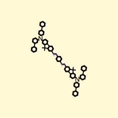 CC1(C)c2cc(/C=C/c3ccc(/C=C/c4ccc5c(c4)C(C)(C)c4cc(N(c6ccc(-c7ccccc7)cc6)c6cccc(-c7ccccc7)c6)ccc4-5)cc3)ccc2-c2ccc(N(c3ccc(-c4ccccc4)cc3)c3cccc(-c4ccccc4)c3)cc21